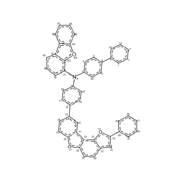 c1ccc(-c2ccc(N(c3ccc(-c4ccc5oc6ccc7nc(-c8ccccc8)oc7c6c5c4)cc3)c3cccc4c3oc3ccccc34)cc2)cc1